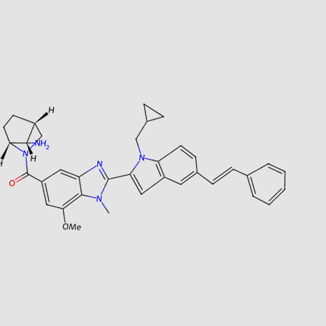 COc1cc(C(=O)N2C[C@H]3CC[C@@H]2[C@H]3N)cc2nc(-c3cc4cc(/C=C/c5ccccc5)ccc4n3CC3CC3)n(C)c12